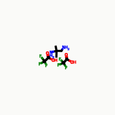 CC(C)(N)CN.O=C(O)C(F)(F)F.O=C(O)C(F)(F)F